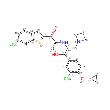 O=C(N[C@H](CN1CCC1)[C@H](O)c1ccc(OC2CC2)c(Cl)c1)C(=O)c1cc2ccc(Cl)cc2s1